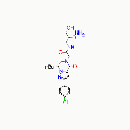 CCCCC1CN(CC(=O)NCC(CO)ON)C(=O)c2cc(-c3ccc(Cl)cc3)nn21